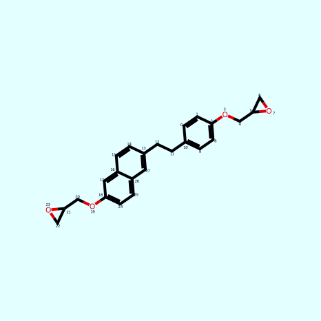 c1cc(OCC2CO2)ccc1CCc1ccc2cc(OCC3CO3)ccc2c1